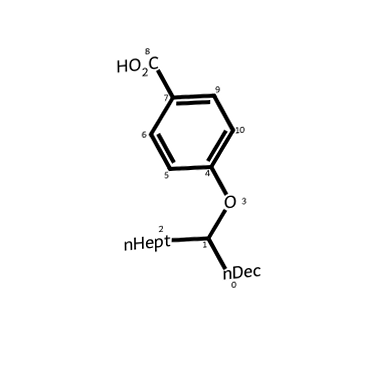 CCCCCCCCCCC(CCCCCCC)Oc1ccc(C(=O)O)cc1